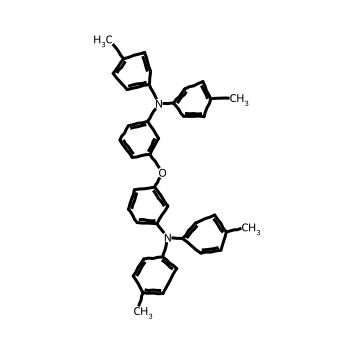 Cc1ccc(N(c2ccc(C)cc2)c2cccc(Oc3cccc(N(c4ccc(C)cc4)c4ccc(C)cc4)c3)c2)cc1